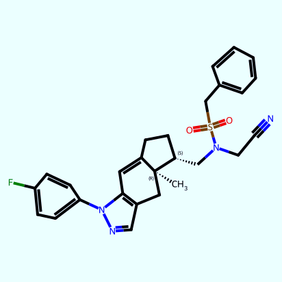 C[C@]12Cc3cnn(-c4ccc(F)cc4)c3C=C1CC[C@@H]2CN(CC#N)S(=O)(=O)Cc1ccccc1